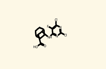 O=C(O)C1C2CCC(CC2)C1Nc1nc(Cl)nc(Cl)c1F